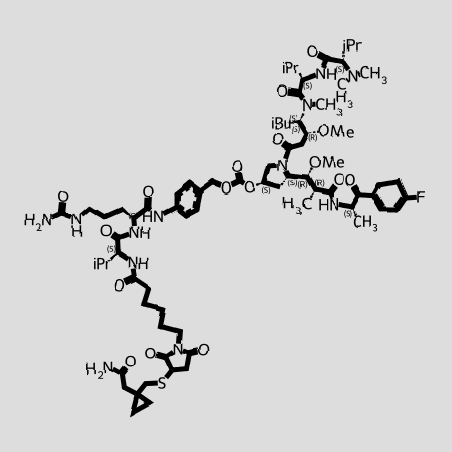 CC[C@H](C)[C@@H]([C@@H](CC(=O)N1C[C@@H](OC(=O)OCc2ccc(NC(=O)[C@H](CCCNC(N)=O)NC(=O)[C@@H](NC(=O)CCCCCN3C(=O)CC(SCC4(CC(N)=O)CC4)C3=O)C(C)C)cc2)C[C@H]1[C@H](OC)[C@@H](C)C(=O)N[C@@H](C)C(=O)C1=CC=C(F)CC1)OC)N(C)C(=O)[C@@H](NC(=O)[C@H](C(C)C)N(C)C)C(C)C